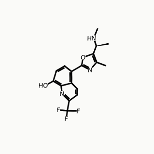 CN[C@@H](C)c1oc(-c2ccc(O)c3nc(C(F)(F)F)ccc23)nc1C